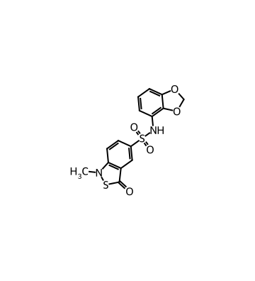 Cn1sc(=O)c2cc(S(=O)(=O)Nc3cccc4c3OCO4)ccc21